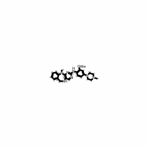 COc1cc(N2CCN(C)CC2)ccc1Nc1ncc2c(n1)N(C)c1ccccc1CN2